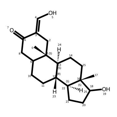 C[C@]12CC(=CO)C(=O)CC1CC[C@@H]1[C@@H]2CC[C@]2(C)C(O)CC[C@@H]12